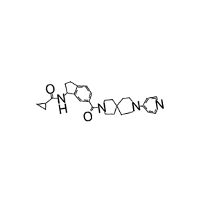 O=C(NC1CCc2ccc(C(=O)N3CCC4(CC3)CCN(c3ccncc3)CC4)cc21)C1CC1